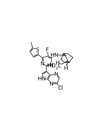 Cc1ccc(-c2nc(-c3c[nH]c4nc(Cl)cnc34)nc(N[C@H]3C4CCC(CC4)[C@@H]3C(=O)O)c2F)s1